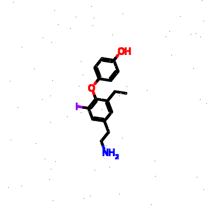 CCc1cc(CCN)cc(I)c1Oc1ccc(O)cc1